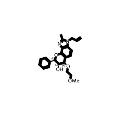 C=CCn1c(C)nc2c3c(ccc21)[C@@H](OCCOC)[C@H](O)[C@@H](c1ccccc1)O3